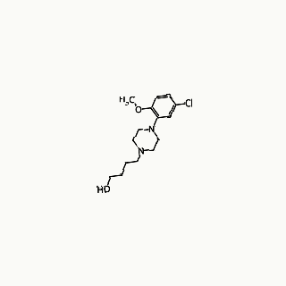 COc1ccc(Cl)cc1N1CCN(CCCCO)CC1